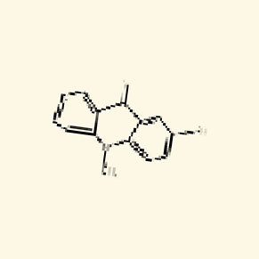 [3H]c1ccc2c(c1)c(=O)c1ccccc1n2C